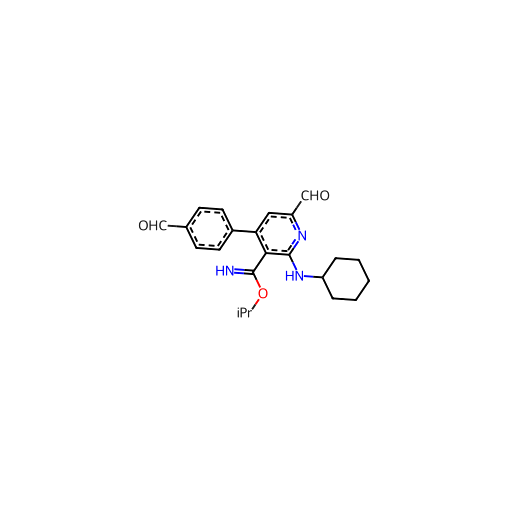 CC(C)OC(=N)c1c(-c2ccc(C=O)cc2)cc(C=O)nc1NC1CCCCC1